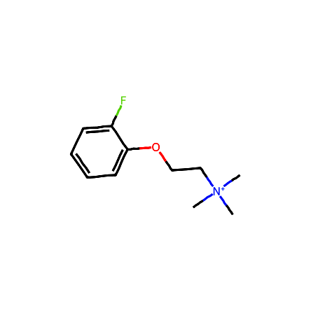 C[N+](C)(C)CCOc1ccccc1F